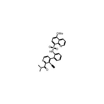 C#Cc1c(-c2ccccc2NS(=O)(=O)c2ccc(OC)c3cccnc23)ccnc1C(=O)N(C)C